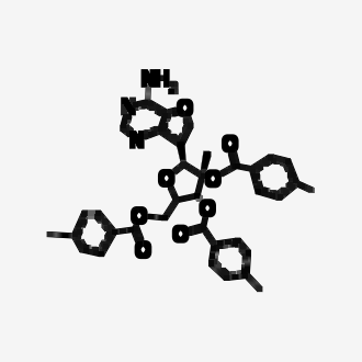 Cc1ccc(C(=O)OCC2O[C@@H](c3coc4c(N)ncnc34)[C@](C)(OC(=O)c3ccc(C)cc3)[C@@H]2OC(=O)c2ccc(C)cc2)cc1